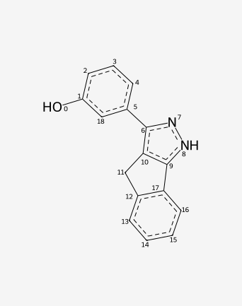 Oc1cccc(-c2n[nH]c3c2Cc2ccccc2-3)c1